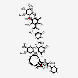 CCN[C@H]1CO[C@@H](O[C@H]2[C@H](O[C@H]3C#CC=CC#C[C@]4(O)CC(=O)C(NC(=O)OC)=C3/C4=C\CSSC3CCCCC3)O[C@H](C)[C@@H](NO[C@H]3C[C@H](O)[C@H](SC(=O)c4c(C)c(I)c(O[C@@H]5O[C@@H](C)[C@H](O)[C@@H](OC)[C@H]5O)c(OC)c4OC)[C@@H](C)O3)[C@@H]2O)C[C@@H]1OC